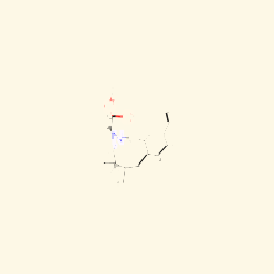 C=CC/C=C\C1=C\C(C)C(C)(C)CN(CC(=O)OC)CC1